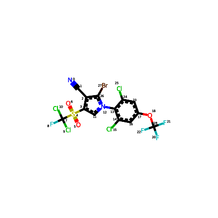 N#Cc1c(S(=O)(=O)C(F)(Cl)Cl)cn(-c2c(Cl)cc(OC(F)(F)F)cc2Cl)c1Br